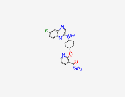 NC(=O)c1cccnc1O[C@H]1CC[C@H](Nc2cnc3cc(F)ccc3n2)CC1